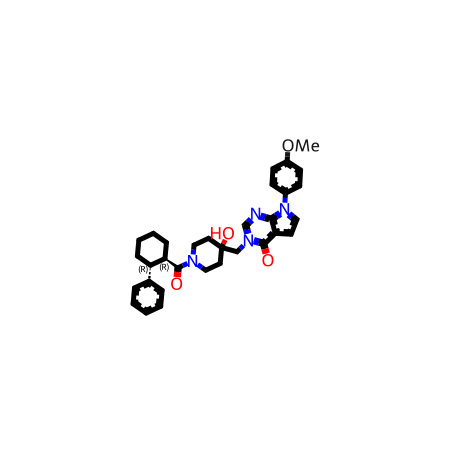 COc1ccc(-n2ccc3c(=O)n(CC4(O)CCN(C(=O)[C@@H]5CCCC[C@H]5c5ccccc5)CC4)cnc32)cc1